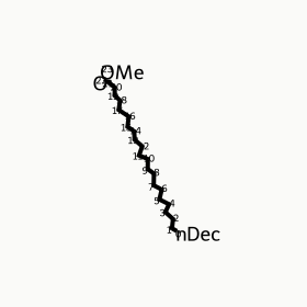 CCCCCCCCCCCCCCCCCCCCCCCCCCCCCCC(=O)OC